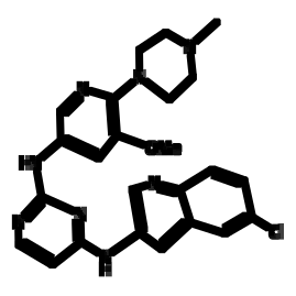 COc1cc(Nc2nccc(Nc3cnc4ccc(Cl)cc4c3)n2)cnc1N1CCN(C)CC1